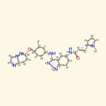 Cc1cc(Nc2ncnc3ccc(NC(=O)/C=C/c4cccn4C)cc23)ccc1Oc1ccc2nccn2n1